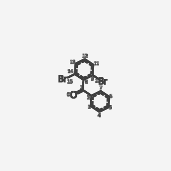 O=C(c1ccccc1)c1c(Br)cccc1Br